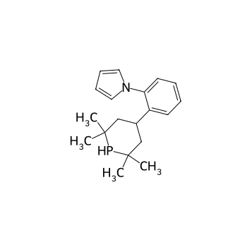 CC1(C)CC(c2ccccc2-n2cccc2)CC(C)(C)P1